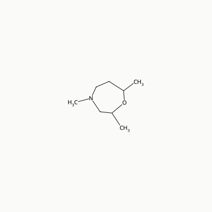 CC1CCN(C)CC(C)O1